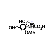 COc1cc(C=O)ccc1N/C(=C\C(=O)O)C(=O)O